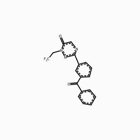 O=C(c1ccccc1)c1cccc(-c2ncc(=O)n(CC(F)(F)F)n2)c1